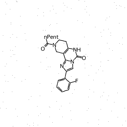 CCCCCC(=O)N1CCc2[nH]c(=O)n3cc(-c4ccccc4F)nc3c2C1